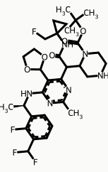 Cc1nc(N[C@H](C)c2cccc(C(F)F)c2F)c(C2OCCO2)c(C(C(=O)NC2(CF)CC2)C2CNCCN2C(=O)OC(C)(C)C)n1